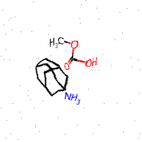 C1C2CC3CC1CC(C2)C3.COC(=O)O.N